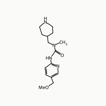 COCc1ccc(NC(=O)N(C)CC2CCNCC2)nc1